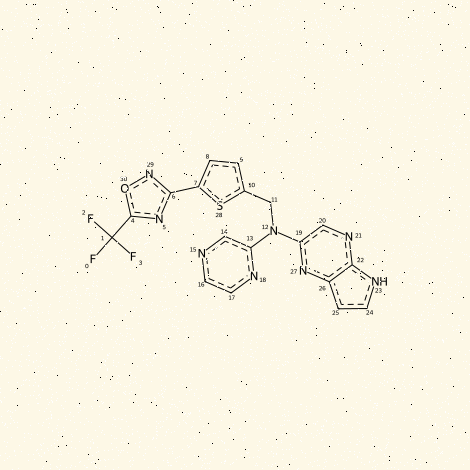 FC(F)(F)c1nc(-c2ccc(CN(c3cnccn3)c3cnc4[nH]ccc4n3)s2)no1